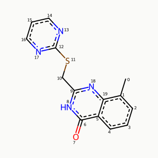 Cc1cccc2c(=O)[nH]c(CSc3ncccn3)nc12